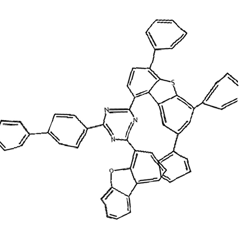 c1ccc(-c2ccc(-c3nc(-c4cccc5c4oc4ccccc45)nc(-c4ccc(-c5ccccc5)c5sc6c(-c7ccccc7)cc(-c7ccccc7)cc6c45)n3)cc2)cc1